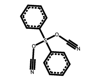 N#COS(OC#N)(c1ccccc1)c1ccccc1